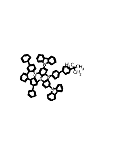 CC(C)(C)c1ccc(-c2ccc(N3c4cc(-n5c6ccccc6c6ccccc65)ccc4B4c5cc(-c6ccccc6)cc6c5N(c5ccc(-c7ccccc7)cc5-c5ccccc5-6)c5cc(-n6c7ccccc7c7ccccc76)cc3c54)cc2)cc1